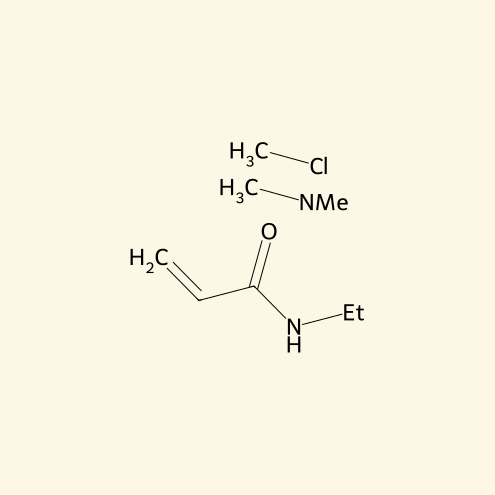 C=CC(=O)NCC.CCl.CNC